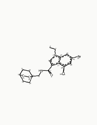 CCn1cc(C(=O)NCC23CCC(CC2)CC3)c2c(Cl)cc(Br)cc21